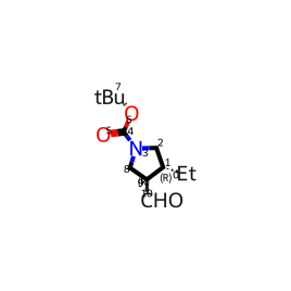 CC[C@H]1CN(C(=O)OC(C)(C)C)C[C@@H]1C=O